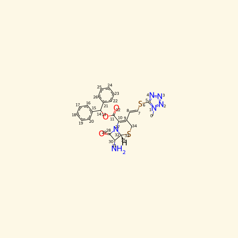 Cn1nnnc1S/C=C/C1=C(C(=O)OC(c2ccccc2)c2ccccc2)N2C(=O)C(N)[C@H]2SC1